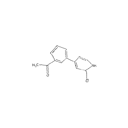 CC(=O)c1cccc(C2=CC(Cl)NC=C2)c1